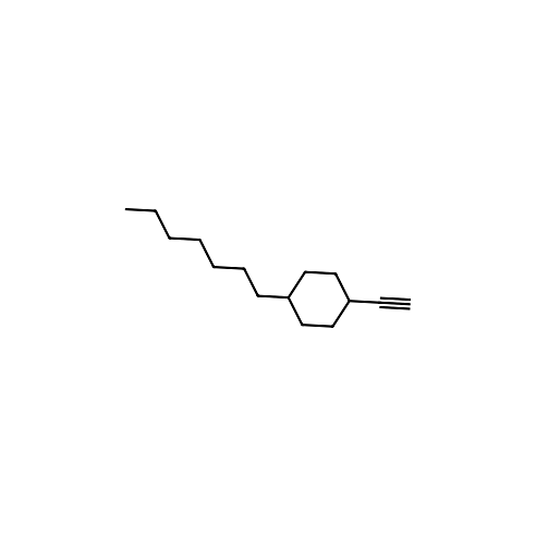 C#CC1CCC(CCCCCCC)CC1